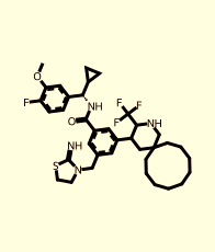 COc1cc([C@@H](NC(=O)c2cc(CN3CCSC3=N)cc(C3CC4(CCCCCCCCC4)CNC3C(F)(F)F)c2)C2CC2)ccc1F